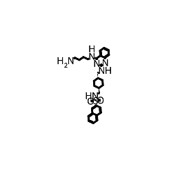 NCCCCNc1nc(NC[C@H]2CC[C@H](CNS(=O)(=O)c3ccc4ccccc4c3)CC2)nc2ccccc12